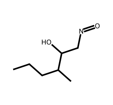 CCCC(C)C(O)CN=O